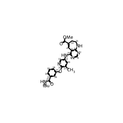 COC(=O)C1=Cc2c(ncnc2Nc2cnc(Oc3cccc(C(=O)NC(C)(C)C)c3)c(C)c2)NCC1